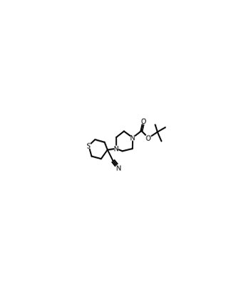 CC(C)(C)OC(=O)N1CCN(C2(C#N)CCSCC2)CC1